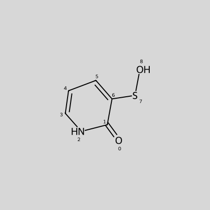 O=c1[nH]cccc1SO